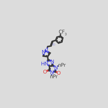 CCCn1c(=O)c2[nH]c(-c3cnn(C/C=C/c4cccc(C(F)(F)F)c4)c3)nc2n(CCC)c1=O